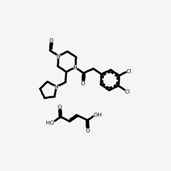 O=C(O)C=CC(=O)O.O=CN1CCN(C(=O)Cc2ccc(Cl)c(Cl)c2)C(CN2CCCC2)C1